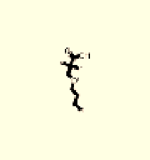 CCCCOCC(C)(C)C(=O)O